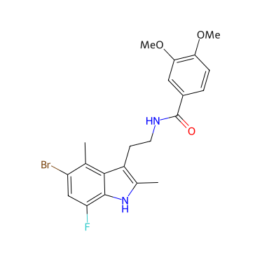 COc1ccc(C(=O)NCCc2c(C)[nH]c3c(F)cc(Br)c(C)c23)cc1OC